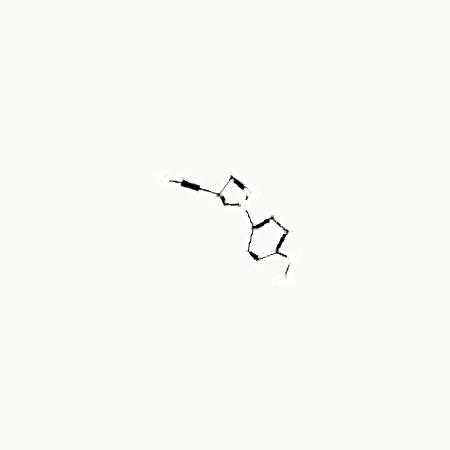 FC(F)(F)Oc1ccc(-n2cc(C#CS)cn2)cc1